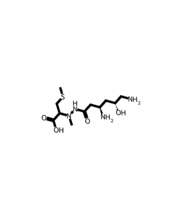 CSCC(C(=O)O)N(C)NC(=O)C[C@H](N)C[C@@H](O)CN